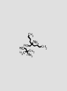 CC(C)(N)CO.CCCCC(N)(CO)CCCC